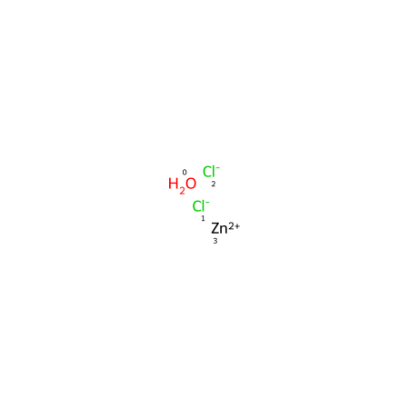 O.[Cl-].[Cl-].[Zn+2]